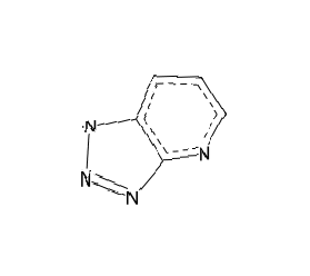 c1cnc2c(c1)[N]N=N2